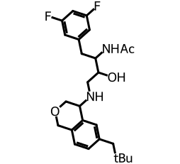 CC(=O)NC(Cc1cc(F)cc(F)c1)C(O)CNC1COCc2ccc(CC(C)(C)C)cc21